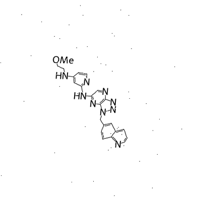 COCCNc1ccnc(Nc2cnc3nnn(Cc4ccc5ncccc5c4)c3n2)c1